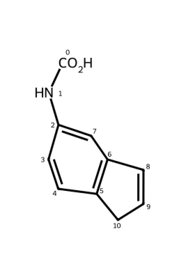 O=C(O)Nc1ccc2c(c1)C=CC2